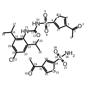 CC(=O)c1csc(S(=O)(=O)NC(=O)Nc2c(C(C)C)cc(Cl)cc2C(C)C)c1.CC(=O)c1csc(S(N)(=O)=O)c1